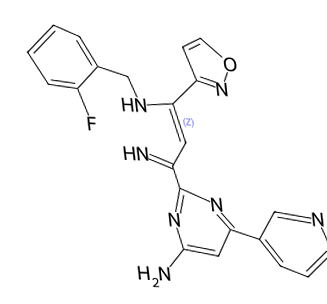 N=C(/C=C(\NCc1ccccc1F)c1ccon1)c1nc(N)cc(-c2cccnc2)n1